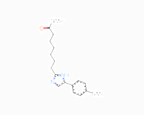 CNC(=O)CCCCCCc1ncc(-c2ccc(NC)cc2)[nH]1